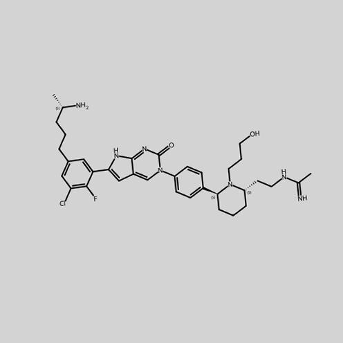 CC(=N)NCC[C@@H]1CCC[C@@H](c2ccc(-n3cc4cc(-c5cc(CCC[C@H](C)N)cc(Cl)c5F)[nH]c4nc3=O)cc2)N1CCCO